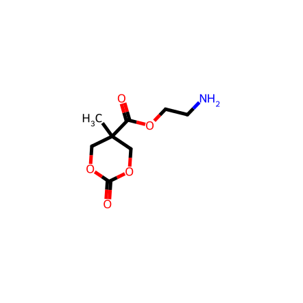 CC1(C(=O)OCCN)COC(=O)OC1